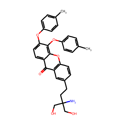 Cc1ccc(Oc2ccc3c(=O)c4cc(CCC(N)(CO)CO)ccc4oc3c2Oc2ccc(C)cc2)cc1